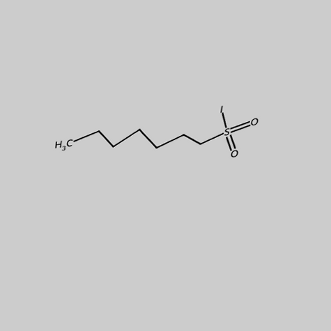 CCCCCCCS(=O)(=O)I